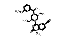 CC[C@H]1CN(C(C)c2cccc(OC)n2)[C@H](CC)CN1c1nc(=O)n(C)c2ccc(C#N)nc12